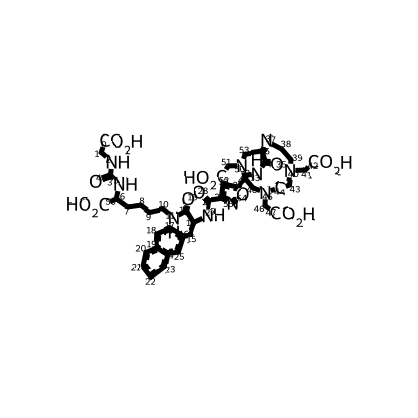 O=C(O)CNC(=O)NC(CCCCNC(=O)C(Cc1ccc2ccccc2c1)NC(=O)c1cc(CNC(=O)/C2=N\CCN(CC(=O)O)CCN(CC(=O)O)CCN(CC(=O)O)C2)on1)C(=O)O